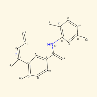 C=C/C=C(/C)c1cc(C(=C)Nc2cc(C)ccc2C)ccc1C